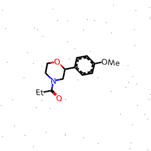 CCC(=O)N1CCOC(c2ccc(OC)cc2)C1